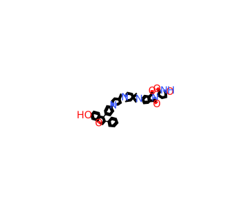 O=C1CCC(N2C(=O)c3ccc(N4CC5(CCN(CC6CCN(c7ccc([C@@H]8c9ccc(O)cc9OC[C@@H]8c8ccccc8)cc7)CC6)CC5)C4)cc3C2=O)C(=O)N1